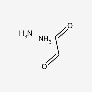 N.N.O=CC=O